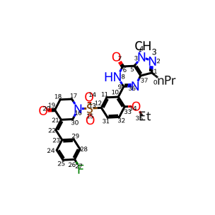 CCCc1nn(C)c2c(=O)[nH]c(-c3cc(S(=O)(=O)N4CCC(=O)/C(=C/c5ccc(F)cc5)C4)ccc3OCC)nc12